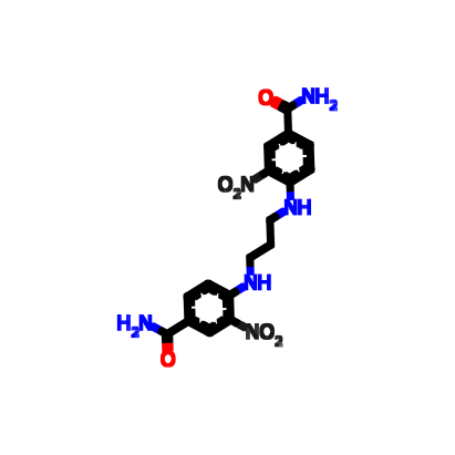 NC(=O)c1ccc(NCCCNc2ccc(C(N)=O)cc2[N+](=O)[O-])c([N+](=O)[O-])c1